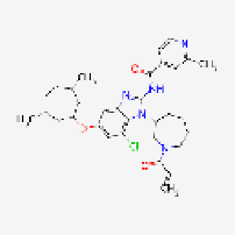 C=CC(=O)N1CCCC[C@@H](n2c(NC(=O)c3ccnc(C)c3)nc3cc(OC4CC(C)CCC(C)C4)cc(Cl)c32)C1